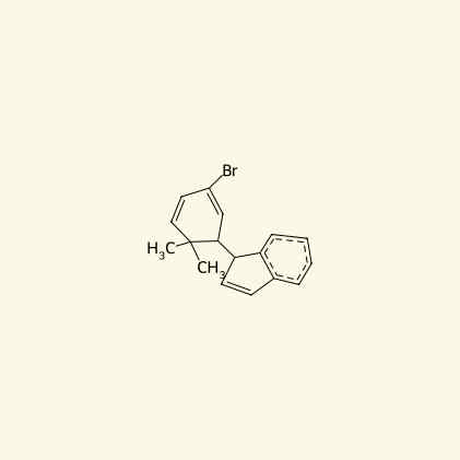 CC1(C)C=CC(Br)=CC1C1C=Cc2ccccc21